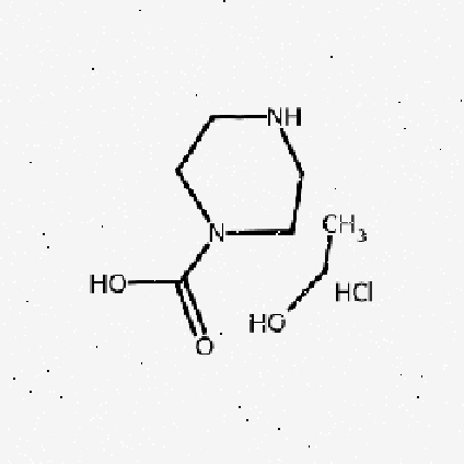 CCO.Cl.O=C(O)N1CCNCC1